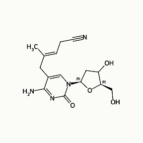 CC(=CCC#N)Cc1cn([C@H]2CC(O)[C@@H](CO)O2)c(=O)nc1N